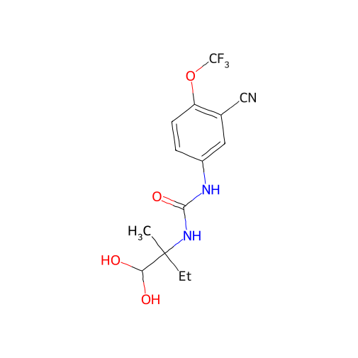 CCC(C)(NC(=O)Nc1ccc(OC(F)(F)F)c(C#N)c1)C(O)O